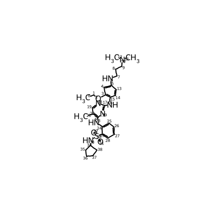 CCOc1cc(NCCCN(C)C)ccc1Nc1ncc(C)c(Nc2ccccc2S(=O)(=O)NC2CCCC2)n1